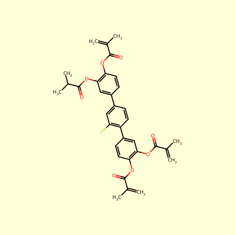 C=C(C)C(=O)Oc1ccc(-c2ccc(-c3ccc(OC(=O)C(=C)C)c(OC(=O)C(C)C)c3)cc2F)cc1OC(=O)C(=C)C